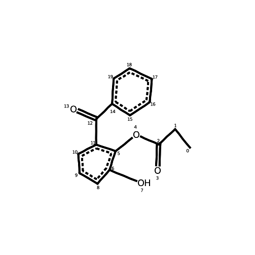 CCC(=O)Oc1c(O)cccc1C(=O)c1ccccc1